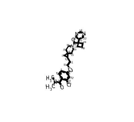 CN(C)C(=O)c1ccc(OCCC2CC23CCN(C(=O)C2(c4cncnc4)CCC2)CC3)cc1Cl